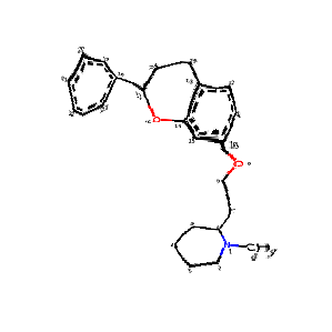 CN1CCCCC1CCOc1ccc2c(c1)OC(c1ccccc1)CC2